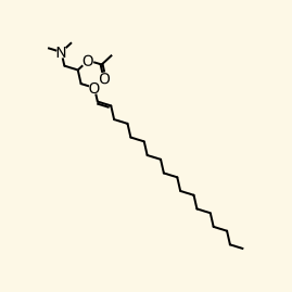 CCCCCCCCCCCCCCCCC=COCC(CN(C)C)OC(C)=O